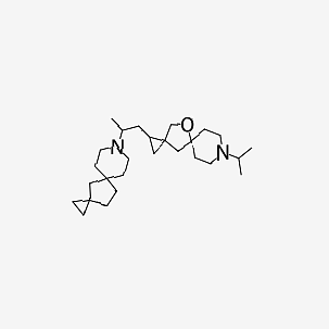 CC(C)N1CCC2(CC1)CC1(CO2)CC1CC(C)N1CCC2(CC1)CCC1(CC1)C2